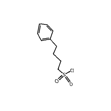 O=S(=O)(Cl)CCCCc1ccccc1